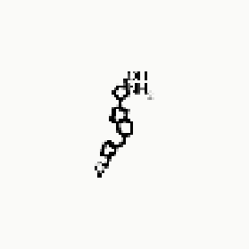 COCc1cccc(CC2CCc3cc([C@H]4CC[C@](N)(CO)C4)ccc3C2)c1